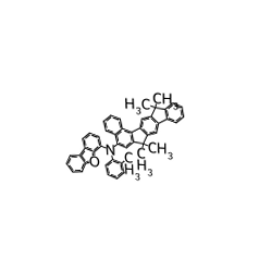 Cc1ccccc1N(c1cc2c(c3ccccc13)-c1cc3c(cc1C2(C)C)-c1ccccc1C3(C)C)c1cccc2c1oc1ccccc12